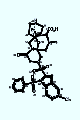 CCOC(C(=O)O)N(C)CC12CN(S(=O)(=O)c3cc4cc(Cl)ccc4n3S(=O)(=O)c3ccccc3)CC(=O)N1CC1(CCNCC1)O2